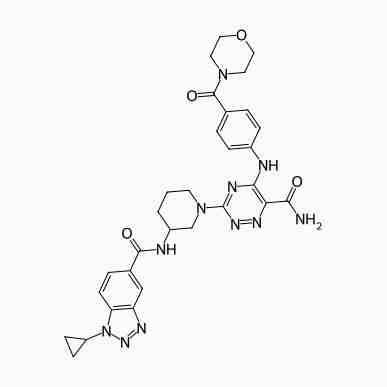 NC(=O)c1nnc(N2CCCC(NC(=O)c3ccc4c(c3)nnn4C3CC3)C2)nc1Nc1ccc(C(=O)N2CCOCC2)cc1